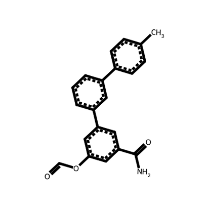 Cc1ccc(-c2cccc(-c3cc(OC=O)cc(C(N)=O)c3)c2)cc1